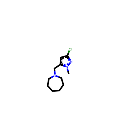 Cn1nc(Cl)cc1CN1CCCCCC1